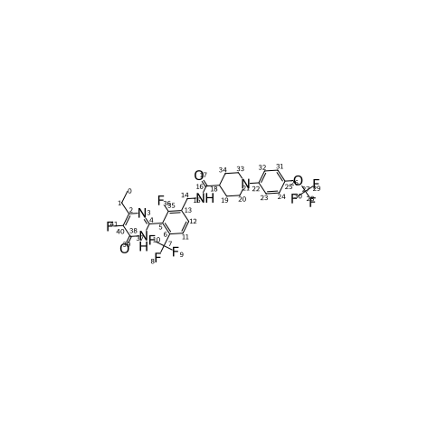 CCc1nc(-c2c(C(F)(F)F)ccc(CNC(=O)C3CCN(c4ccc(OC(F)(F)F)cc4)CC3)c2F)[nH]c(=O)c1F